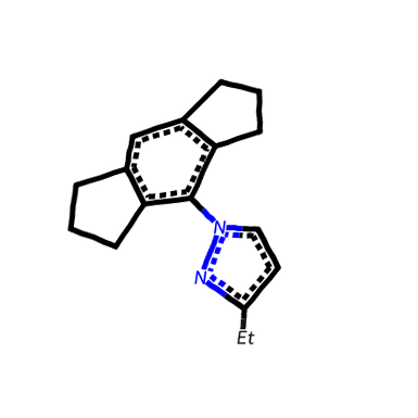 CCc1ccn(-c2c3c(cc4c2CCC4)CCC3)n1